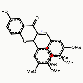 COc1cc(/C=C2/C(=O)c3cc(O)ccc3OC2c2cc(OC)c(OC)c(OC)c2)cc(OC)c1OC